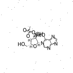 COc1c2ncnc-2ncn1[C@@H]1O[C@H](CO)[C@H](OS(C)(=O)=O)[C@H]1O